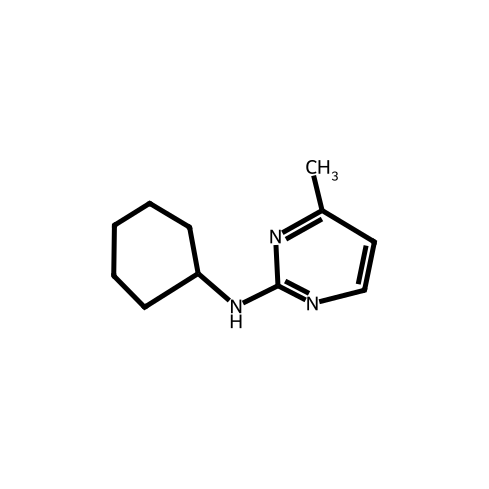 Cc1ccnc(NC2CCCCC2)n1